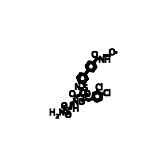 COCCNC(=O)c1ccc(-c2ccc3nc(C(C(=O)NCCS(N)(=O)=O)S(=O)(=O)Cc4ccc(Cl)c(Cl)c4)sc3c2)cc1